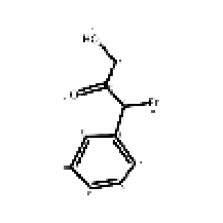 CCC(C(=O)CO)c1ccccc1